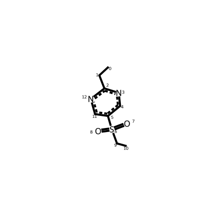 CCc1ncc(S(=O)(=O)CC)cn1